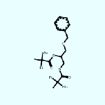 CCCCC(C)(CC)C(=O)OCC(COCc1ccccc1)OC(=O)C(C)(CC)CCCC